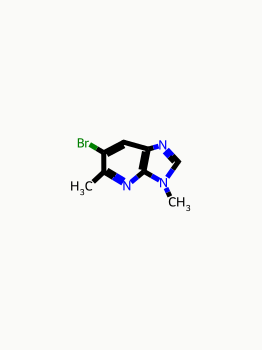 Cc1nc2c(cc1Br)ncn2C